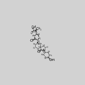 CN(C(=O)O)c1ccc(N2CCCC3(CCN(C4CCC(O)CC4)C3=O)C2)c(Cl)c1